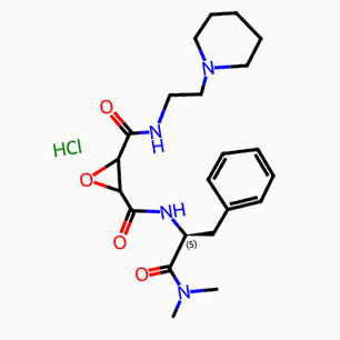 CN(C)C(=O)[C@H](Cc1ccccc1)NC(=O)C1OC1C(=O)NCCN1CCCCC1.Cl